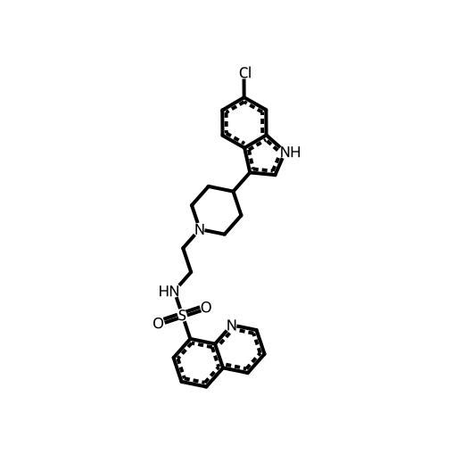 O=S(=O)(NCCN1CCC(c2c[nH]c3cc(Cl)ccc23)CC1)c1cccc2cccnc12